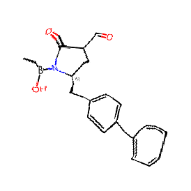 CB(O)N1C(=O)C(C=O)C[C@H]1Cc1ccc(-c2ccccc2)cc1